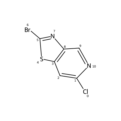 Clc1cc2sc(Br)nc2cn1